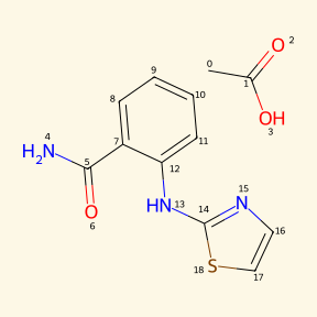 CC(=O)O.NC(=O)c1ccccc1Nc1nccs1